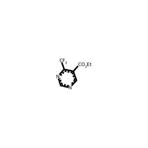 CCOC(=O)c1cncnc1C(F)(F)F